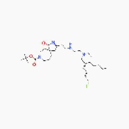 CCCCC/C(=C\C=C\CF)CN(CC)CCNCCC1=NC(=O)C2(CCCN(C(=O)OC(C)(C)C)CC2)C1